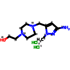 Cl.Cl.Cn1nc(N)cc1CN1CCN(CCO)CC1